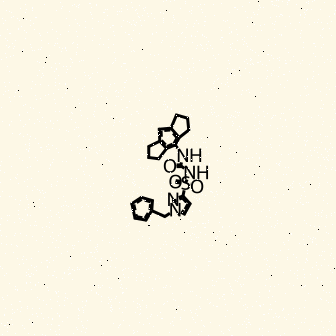 O=C(Nc1c2c(cc3c1CCC3)CCC2)NS(=O)(=O)c1ccn(Cc2ccccc2)n1